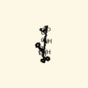 CC(C)(C)OC(=O)N(CCCCCC(=O)NCCCCC(NC(=O)OCC1c2ccccc2-c2ccccc21)C(=O)OCc1ccccc1)C(=O)OC(C)(C)C